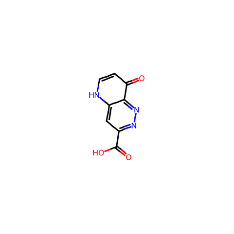 O=C(O)c1cc2[nH]ccc(=O)c2nn1